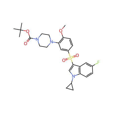 COc1ccc(S(=O)(=O)c2cn(C3CC3)c3ccc(F)cc23)cc1N1CCN(C(=O)OC(C)(C)C)CC1